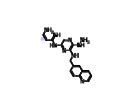 N=C(/C=C\N)Nc1cnc(NN)c(NCc2ccc3ncccc3c2)n1